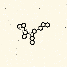 c1ccc2cc3c(cc2c1)c1cc(-c2ccc4c(ccc5ccccc54)c2)ccc1n3-c1nc(-c2cccc3cccnc23)nc2ccccc12